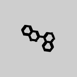 [C]1=C(C2=Cc3ccccc3OO2)c2ccccc2SS1